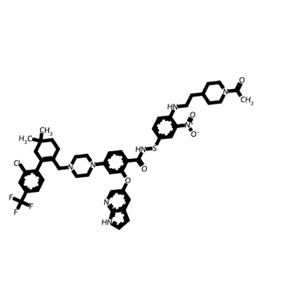 CC(=O)N1CCC(CCNc2ccc(SNC(=O)c3ccc(N4CCN(CC5=C(c6ccc(C(F)(F)F)cc6Cl)CC(C)(C)CC5)CC4)cc3Oc3cnc4[nH]ccc4c3)cc2[N+](=O)[O-])CC1